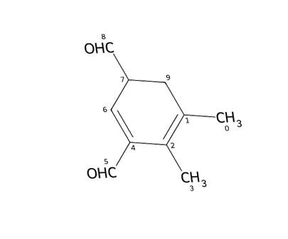 CC1=C(C)C(C=O)=CC(C=O)C1